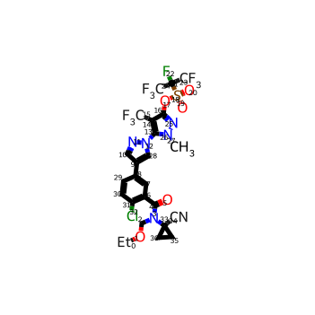 CCOCN(C(=O)c1cc(-c2cnn(-c3c(C(F)(F)F)c(OS(=O)(=O)C(F)(C(F)(F)F)C(F)(F)F)nn3C)c2)ccc1Cl)C1(C#N)CC1